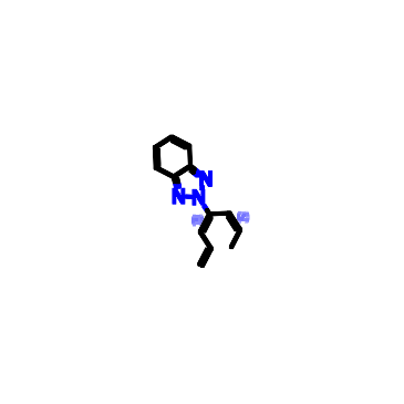 C=C/C=C(\C=C/C)n1nc2ccccc2n1